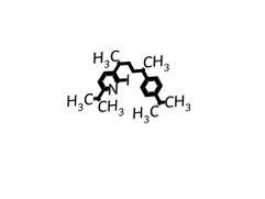 CC(C)c1ccc(C(C)CCC(C)c2ccc(C(C)C)nc2I)cc1